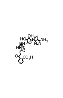 Nc1ncnc2c1ncn2[C@@H]1O[C@H](CNS(=O)(=O)NC(=O)CCC(=O)c2ccccc2C(=O)O)[C@@H](O)[C@H]1O